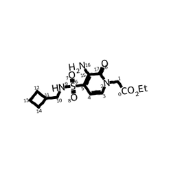 CCOC(=O)Cn1ccc(S(=O)(=O)NCC2CCC2)c(N)c1=O